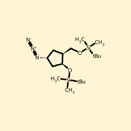 CC(C)(C)[Si](C)(C)OC[C@@H]1C[C@@H](N=[N+]=[N-])C[C@@H]1O[Si](C)(C)C(C)(C)C